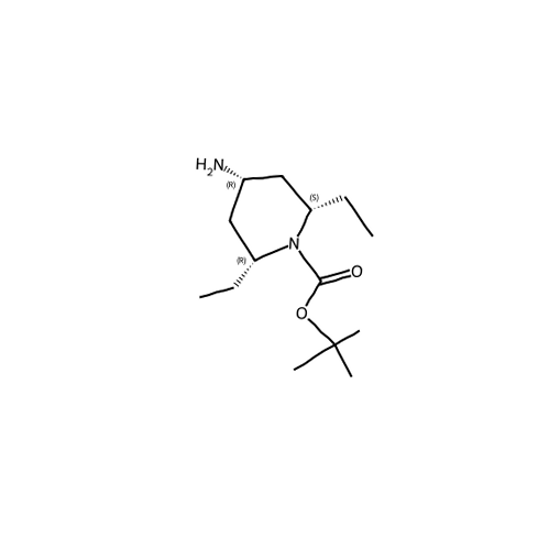 CC[C@@H]1C[C@H](N)C[C@H](CC)N1C(=O)OC(C)(C)C